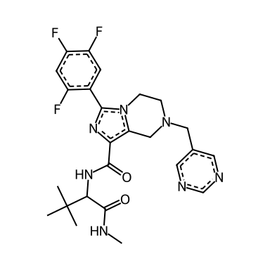 CNC(=O)C(NC(=O)c1nc(-c2cc(F)c(F)cc2F)n2c1CN(Cc1cncnc1)CC2)C(C)(C)C